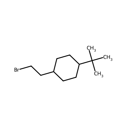 CC(C)(C)C1CCC(CCBr)CC1